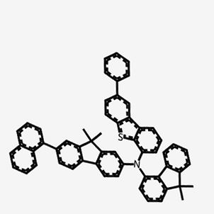 CC1(C)c2cc(-c3cccc4ccccc34)ccc2-c2ccc(N(c3cccc4c3-c3ccccc3C4(C)C)c3cccc4c3sc3ccc(-c5ccccc5)cc34)cc21